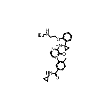 CCC(C)NCCOc1ccccc1C1(Nc2nccn(-c3cc(C(=O)NC4CC4)ccc3C)c2=O)CC1